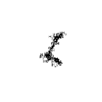 Cc1ncsc1-c1ccc(CNC(=O)[C@@H]2C[C@@H](O)CN2C(=O)[C@@H](NC(=O)CNC(=O)CCCC(=O)Nc2cc3cc(-c4cncc(N)c4C)c(F)c(N)c3cn2)C(C)(C)C)cc1